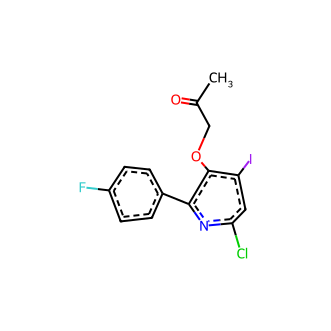 CC(=O)COc1c(I)cc(Cl)nc1-c1ccc(F)cc1